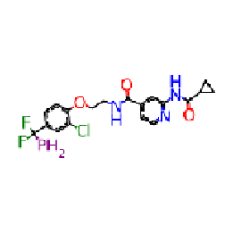 O=C(NCCOc1ccc(C(F)(F)P)cc1Cl)c1ccnc(NC(=O)C2CC2)c1